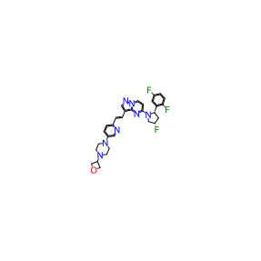 Fc1ccc(F)c([C@H]2C[C@H](F)CN2c2ccn3ncc(/C=C/c4ccc(N5CCN(C6COC6)CC5)cn4)c3n2)c1